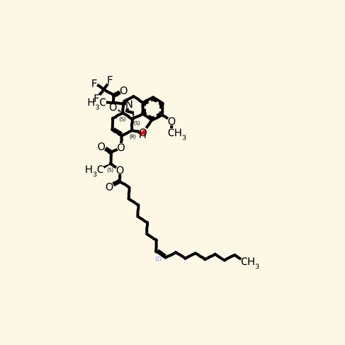 CCCCCCCC/C=C\CCCCCCCC(=O)O[C@@H](C)C(=O)OC1=CC[C@@]2(OC(=O)C(F)(F)F)C3Cc4ccc(OC)c5c4[C@@]2(CCN3C)[C@H]1O5